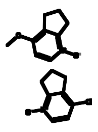 COc1cc[n+]([O-])c2c1CCC2.[O-][n+]1ccc(Cl)c2c1CCC2